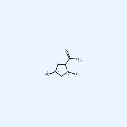 CC(=O)C1C[C@H](O)CN1C